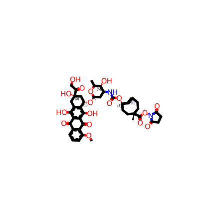 COc1cccc2c1C(=O)c1c(O)c3c(c(O)c1C2=O)C[C@@](O)(C(=O)CO)C[C@@H]3O[C@H]1CC(NC(=O)O[C@@H]2/C=C/CC[C@](C)(C(=O)ON3C(=O)CCC3=O)CC2)[C@H](O)C(C)O1